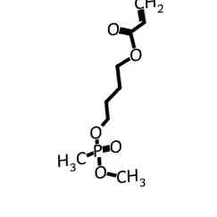 C=CC(=O)OCCCCOP(C)(=O)OC